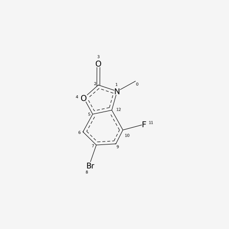 Cn1c(=O)oc2cc(Br)cc(F)c21